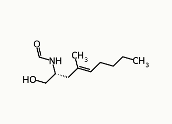 CCCC/C=C(\C)C[C@H](CO)NC=O